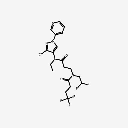 CCN(C(=O)CCN(CC(F)F)C(=O)CCC(F)(F)F)c1cn(-c2cccnc2)nc1Cl